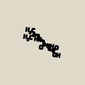 CC(C)CNCC(=O)NCC(=O)O